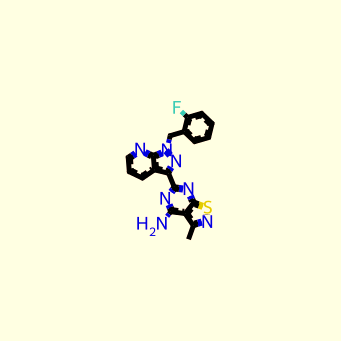 Cc1nsc2nc(-c3nn(Cc4ccccc4F)c4ncccc34)nc(N)c12